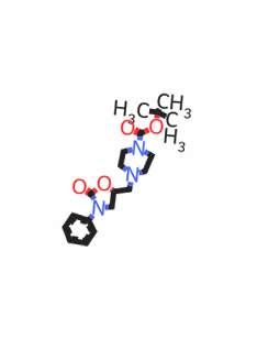 CC(C)(C)OC(=O)N1CCN(CC2CN(c3ccccc3)C(=O)O2)CC1